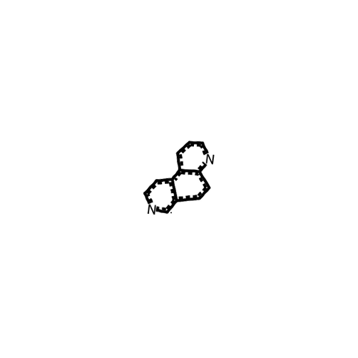 [c]1nccc2c1ccc1ncccc12